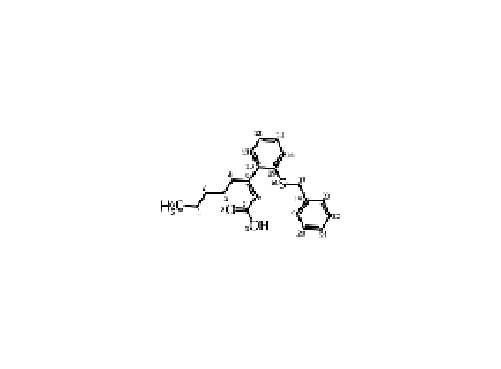 CCCCCC(=CC(=O)O)c1ccccc1SCc1ccccc1